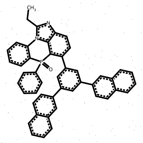 CCc1nc2ccc(-c3cc(-c4ccc5ccccc5c4)cc(-c4ccc5ccccc5c4)c3)c3c2n1-c1ccccc1P3(=O)c1ccccc1